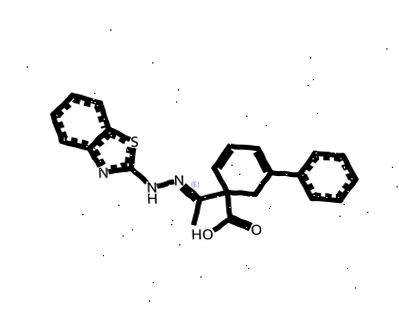 C/C(=N\Nc1nc2ccccc2s1)C1(C(=O)O)C=CC=C(c2ccccc2)C1